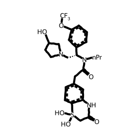 CCCN(C(=O)Cc1ccc2c(c1)NC(=O)CS2(O)O)[C@H](CN1CCC(O)C1)c1cccc(OC(F)(F)F)c1